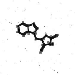 O=C1CN(Cn2ccc3ccccc32)C(=O)N1